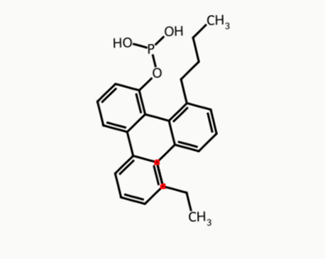 CCCCc1cccc(CCCC)c1-c1c(OP(O)O)cccc1-c1ccccc1